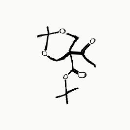 CC(=O)C1(C(=O)OC(C)(C)C)COC(C)(C)OC1